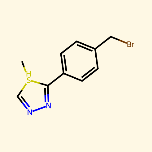 C[SH]1C=NN=C1c1ccc(CBr)cc1